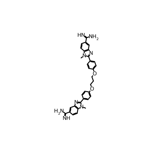 Cn1c(-c2ccc(OCCCOc3ccc(-c4nc5cc(C(=N)N)ccc5n4C)cc3)cc2)nc2cc(C(=N)N)ccc21